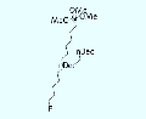 CCCCCCCCCCCCCCCCCCCCC.CO[Si](CCCCCCCCCCCCF)(OC)OC